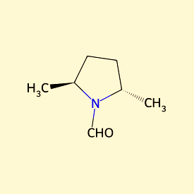 C[C@H]1CC[C@H](C)N1C=O